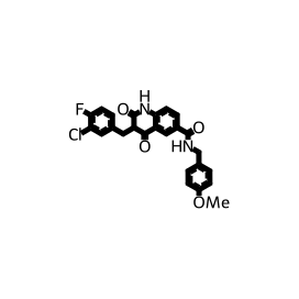 COc1ccc(CNC(=O)c2ccc3c(c2)C(=O)C(Cc2ccc(F)c(Cl)c2)C(=O)N3)cc1